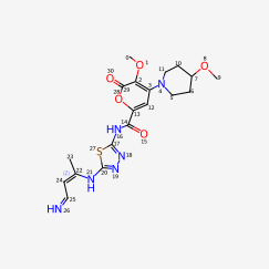 COc1c(N2CCC(OC)CC2)cc(C(=O)Nc2nnc(N/C(C)=C\C=N)s2)oc1=O